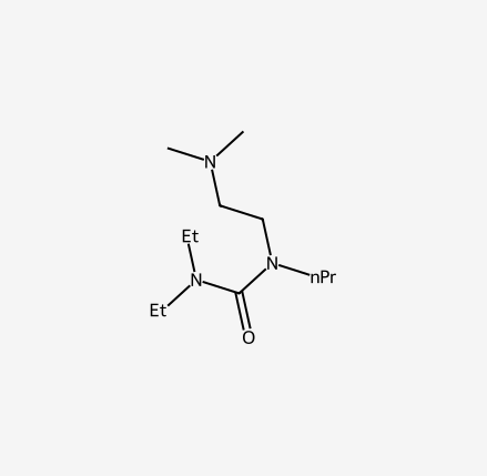 CCCN(CCN(C)C)C(=O)N(CC)CC